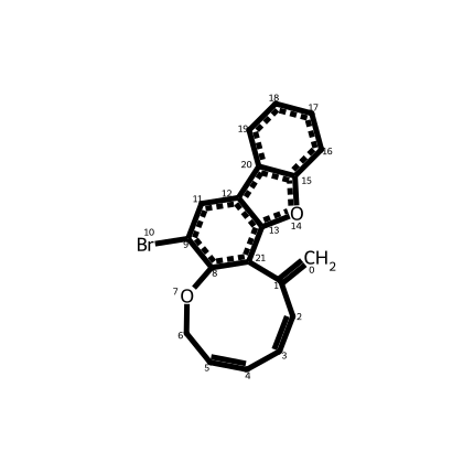 C=C1/C=C\C=C/COc2c(Br)cc3c(oc4ccccc43)c21